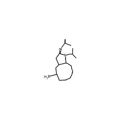 BC1CCCCCC2C(C/C(=N/C(C)C)N2C(C)C)C1